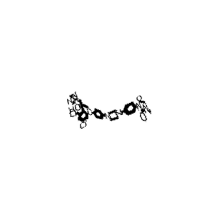 CN1CC(=O)N(c2ccc(N3CCN(c4ccc(OCC(O)(Cn5cncn5)c5ccc(Cl)cc5Cl)cc4)CC3)cc2)C1=O